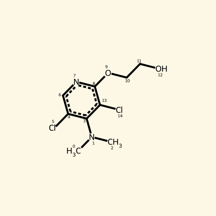 CN(C)c1c(Cl)cnc(OCCO)c1Cl